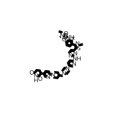 CCN(C)S(=O)(=O)Nc1cccc(-c2nc(C)sc2-c2ccnc(Nc3ccc(N4CCN(CC5CCN(c6ccc(C7CCC(=O)NC7=O)cn6)CC5)CC4)cn3)n2)c1F